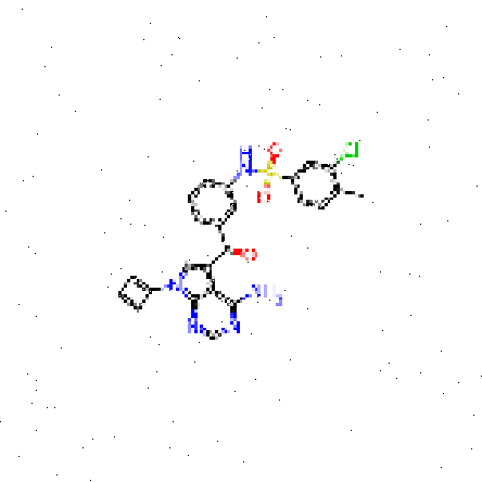 Cc1ccc(S(=O)(=O)Nc2cccc(C(=O)c3cn(C4=CC=C4)c4ncnc(N)c34)c2)cc1Cl